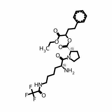 CCOC(=O)C(CCc1ccccc1)OC(=O)[C@@H]1CCCN1C(=O)[C@@H](N)CCCCNC(=O)C(F)(F)F